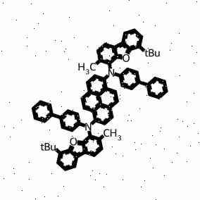 Cc1ccc2c(oc3c(C(C)(C)C)cccc32)c1N(c1ccc(-c2ccccc2)cc1)c1ccc2ccc3c(N(c4ccc(-c5ccccc5)cc4)c4c(C)ccc5c4oc4c(C(C)(C)C)cccc45)ccc4ccc1c2c43